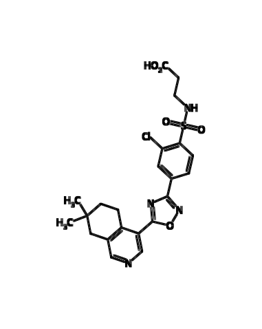 CC1(C)CCc2c(cncc2-c2nc(-c3ccc(S(=O)(=O)NCCC(=O)O)c(Cl)c3)no2)C1